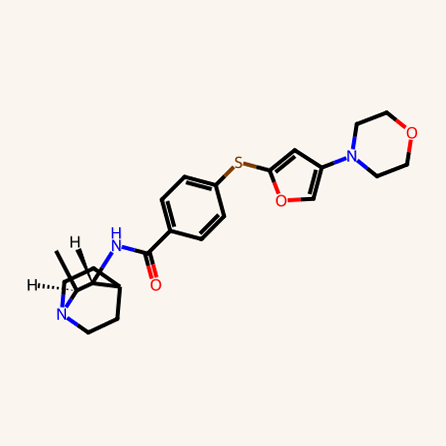 C[C@H]1[C@H](NC(=O)c2ccc(Sc3cc(N4CCOCC4)co3)cc2)C2CCN1CC2